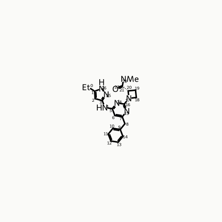 CCc1cc(Nc2cc(Cc3ccccc3)nc(N3CC[C@H]3C(=O)NC)n2)n[nH]1